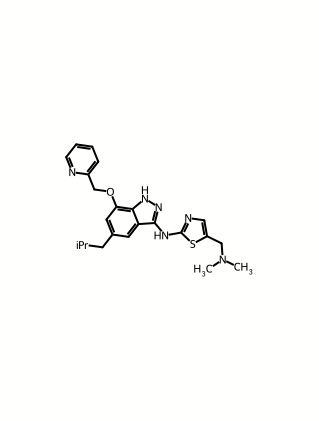 CC(C)Cc1cc(OCc2ccccn2)c2[nH]nc(Nc3ncc(CN(C)C)s3)c2c1